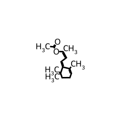 CC(=O)OC(C)=CC=C1C(C)=CCCC1(C)C